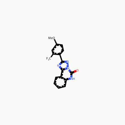 COc1ccc(-c2nc3c4ccccc4[nH]c(=O)n3n2)c(C(F)(F)F)c1